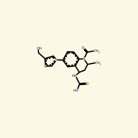 CC(=O)N1c2ccc(-n3cnc(CO)c3)cc2C(NC(=O)O)CC1C